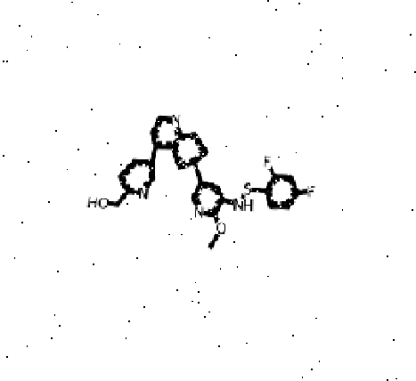 COc1ncc(-c2ccc3nccc(-c4ccc(CO)nc4)c3c2)cc1NSc1ccc(F)cc1F